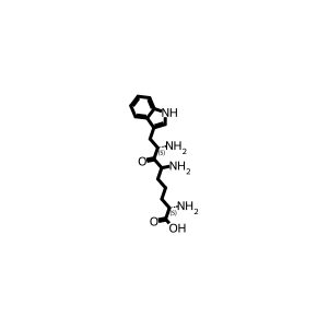 NC(CCC[C@H](N)C(=O)O)C(=O)[C@@H](N)Cc1c[nH]c2ccccc12